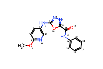 COc1ccc(Nc2nnc(C(=O)Nc3ccccc3)o2)cn1